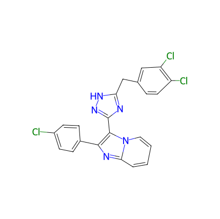 Clc1ccc(-c2nc3ccccn3c2-c2n[nH]c(Cc3ccc(Cl)c(Cl)c3)n2)cc1